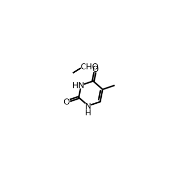 CC=O.Cc1c[nH]c(=O)[nH]c1=O